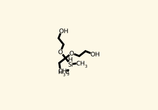 CCC(OCCO)(OCCO)[SiH](C)C